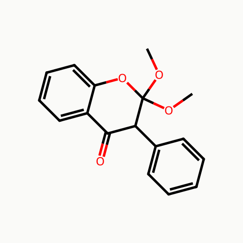 COC1(OC)Oc2ccccc2C(=O)C1c1ccccc1